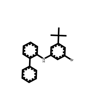 CC(C)(C)c1cc(Br)cc(Nc2ccccc2-c2ccccc2)c1